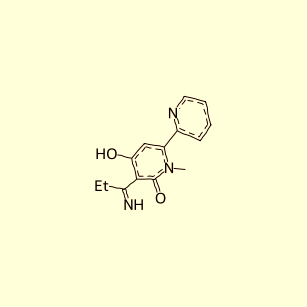 CCC(=N)c1c(O)cc(-c2ccccn2)n(C)c1=O